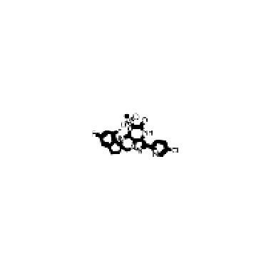 CS(=O)(=O)CC(=O)Nc1c(-c2ccc(Cl)cn2)nn2c1C(=O)N[C@]1(CCc3cc(F)cc(F)c31)C2